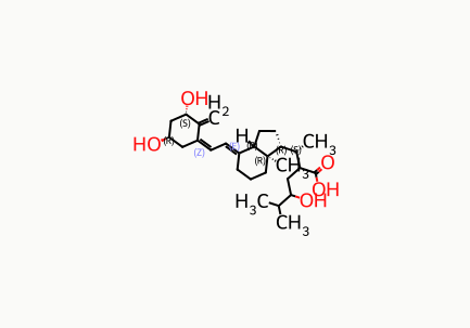 C=C1/C(=C\C=C2/CCC[C@]3(C)[C@@H]([C@H](C)C(CC(O)C(C)C)C(=O)O)CC[C@@H]23)C[C@@H](O)C[C@@H]1O